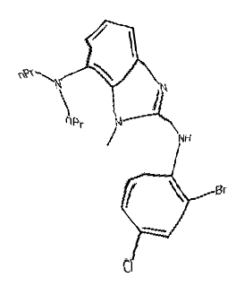 CCCN(CCC)c1cccc2nc(Nc3ccc(Cl)cc3Br)n(C)c12